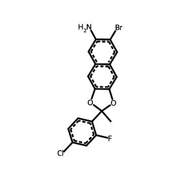 CC1(c2ccc(Cl)cc2F)Oc2cc3cc(N)c(Br)cc3cc2O1